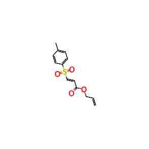 C=CCOC(=O)C=CS(=O)(=O)c1ccc(C)cc1